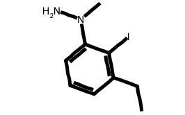 CCc1cccc(N(C)N)c1I